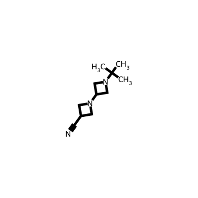 CC(C)(C)N1CC(N2CC(C#N)C2)C1